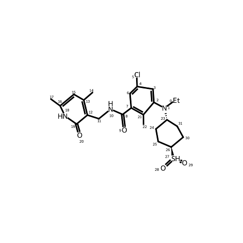 CCN(c1cc(Cl)cc(C(=O)NCc2c(C)cc(C)[nH]c2=O)c1C)[C@H]1CC[C@H]([SH](=O)=O)CC1